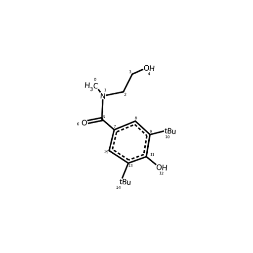 CN(CCO)C(=O)c1cc(C(C)(C)C)c(O)c(C(C)(C)C)c1